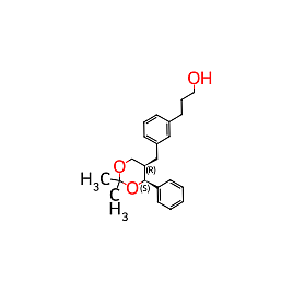 CC1(C)OC[C@@H](Cc2cccc(CCCO)c2)[C@@H](c2ccccc2)O1